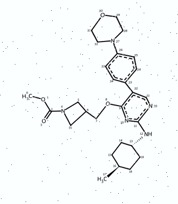 COC(=O)N1CC(COc2nc(N[C@H]3CC[C@H](C)CC3)ncc2-c2ccc(N3CCOCC3)cc2)C1